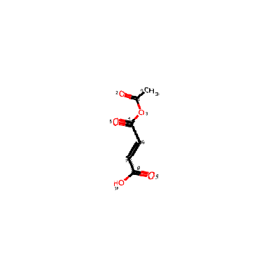 CC(=O)OC(=O)C=CC(=O)O